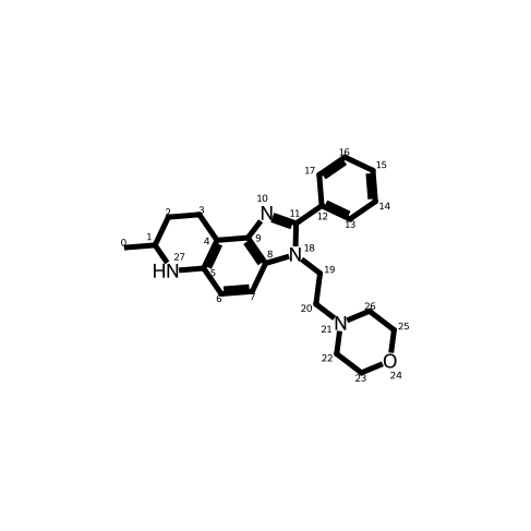 CC1CCc2c(ccc3c2nc(-c2ccccc2)n3CCN2CCOCC2)N1